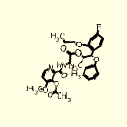 CCCOc1cc(F)ccc1[C@@H](Oc1ccccc1)[C@H](C)OC(=O)[C@H](C)NC(=O)c1nccc(OC)c1OC(C)=O